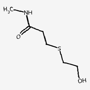 CNC(=O)CCSCCO